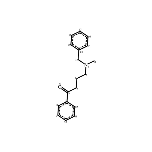 CN(CCCC(=O)c1ccccc1)Cc1ccccc1